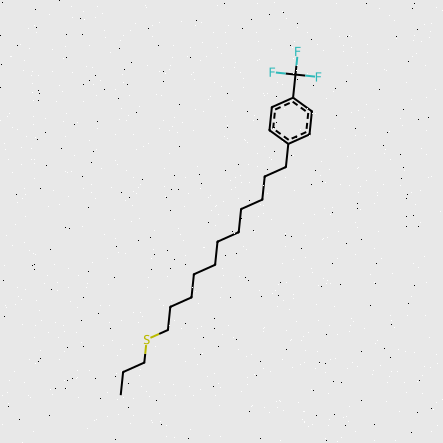 CCCSCCCCCCCCCCCc1ccc(C(F)(F)F)cc1